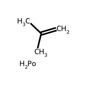 C=C(C)C.[PoH2]